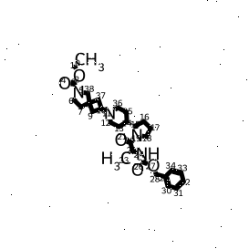 CCOC(=O)N1CCC2(CC(N3CCC([C@@H]4CCCN4C(=O)C(C)NC(=O)OCc4ccccc4)CC3)C2)C1